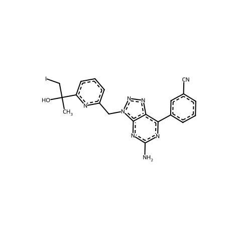 CC(O)(CI)c1cccc(Cn2nnc3c(-c4cccc(C#N)c4)nc(N)nc32)n1